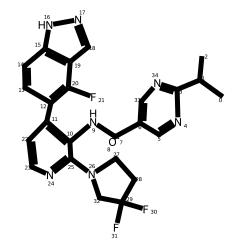 CC(C)c1ncc(C(=O)Nc2c(-c3ccc4[nH]ncc4c3F)ccnc2N2CCC(F)(F)C2)cn1